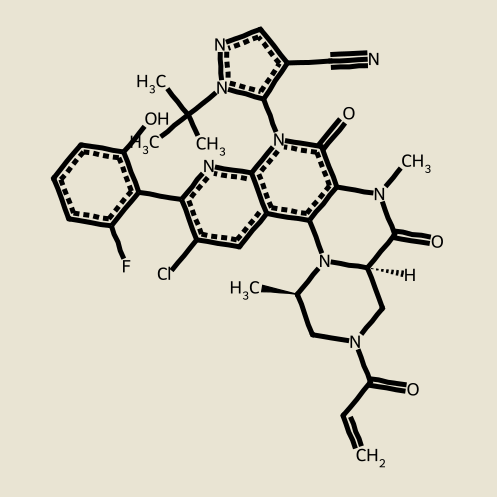 C=CC(=O)N1C[C@@H](C)N2c3c(c(=O)n(-c4c(C#N)cnn4C(C)(C)C)c4nc(-c5c(O)cccc5F)c(Cl)cc34)N(C)C(=O)[C@H]2C1